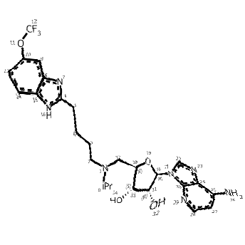 CC(C)N(CCCCc1nc2cc(OC(F)(F)F)ccc2[nH]1)C[C@H]1O[C@@H](n2cnc3c(N)ccnc32)[C@H](O)[C@@H]1O